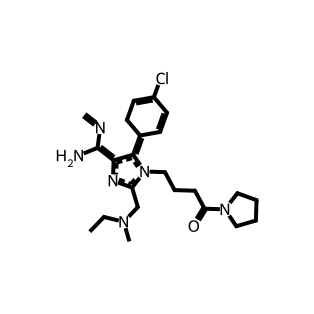 C=N/C(N)=c1/nc(CN(C)CC)n(CCCC(=O)N2CCCC2)/c1=C1\C=CC(Cl)=CC1